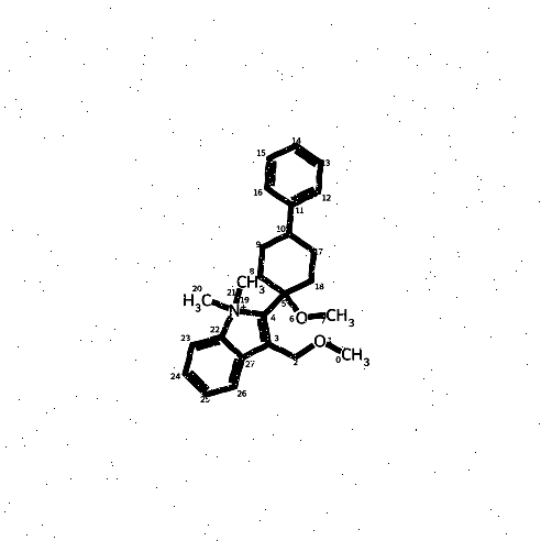 COCC1=C(C2(OC)CCC(c3ccccc3)CC2)[N+](C)(C)c2ccccc21